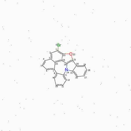 Brc1cc2cccc3c4ccccc4n4c5ccccc5c5oc1c(c23)c54